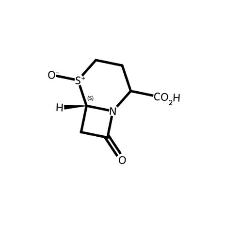 O=C(O)C1CC[S+]([O-])[C@H]2CC(=O)N12